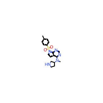 Cc1ccc(S(=O)(=O)n2ccc3c(N(C)[C@H]4CCNC4)ncnc32)cc1